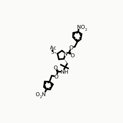 CC(=O)S[C@H]1C[C@@H](CC(C)(C)NC(=O)OCc2ccc([N+](=O)[O-])cc2)N(C(=O)OCc2ccc([N+](=O)[O-])cc2)C1